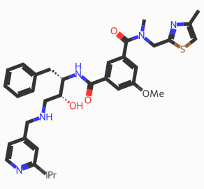 COc1cc(C(=O)N[C@@H](Cc2ccccc2)[C@H](O)CNCc2ccnc(C(C)C)c2)cc(C(=O)N(C)Cc2nc(C)cs2)c1